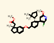 COC(=O)C[C@@]1(C)CCc2ccc(OCc3ccc(-c4cc(OC)ncc4F)c([C@H]4CCCC4(C)C)c3)cc21